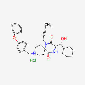 CC#CCN1C(=O)[C@@H]([C@H](O)C2CCCCC2)NC(=O)C12CCN(Cc1ccc(Oc3ccccc3)cc1)CC2.Cl